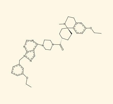 CCOc1cccc(Cn2ncc3c(N4CCN(C(=O)[C@H]5CC[C@]6(CC5)c5ccc(OCC)cc5CCN6C)CC4)ncnc32)c1